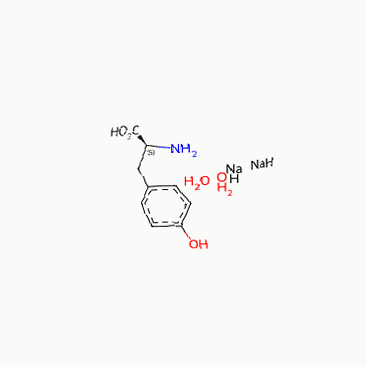 N[C@@H](Cc1ccc(O)cc1)C(=O)O.O.O.[NaH].[NaH]